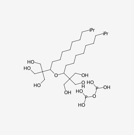 CC(C)CCCCCCCC(OC(CCCCCCCC(C)C)C(CO)(CO)CO)C(CO)(CO)CO.OP(O)OP(O)O